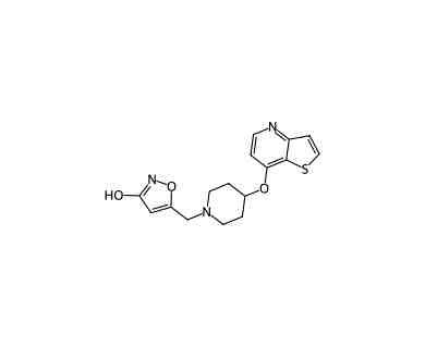 Oc1cc(CN2CCC(Oc3ccnc4ccsc34)CC2)on1